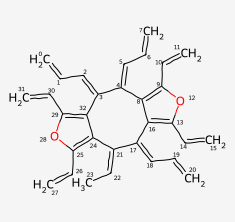 C=C/C=C1/C(=C/C=C)c2c(C=C)oc(C=C)c2C(=C\C=C)/C(=C/C)c2c(C=C)oc(C=C)c21